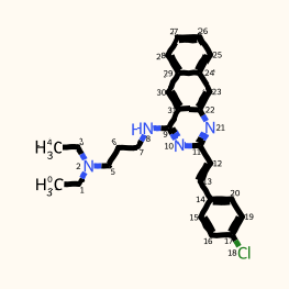 CCN(CC)CCCNc1nc(C=Cc2ccc(Cl)cc2)nc2cc3ccccc3cc12